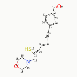 O=Cc1ccc(C#C/C=C/C=C(\S)CN2CCOCC2)cc1